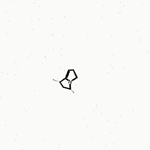 C[C@@H]1C[C@H](C)C2=CCCN21